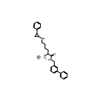 Cl.Cl.NC(CCCCNC1CC1c1ccccc1)C(=O)NCc1cccc(-c2ccccc2)c1